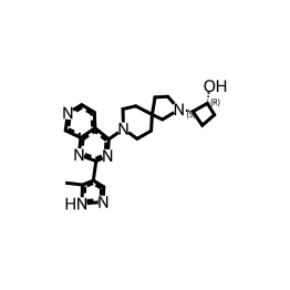 Cc1[nH]ncc1-c1nc(N2CCC3(CC2)CCN([C@H]2CC[C@H]2O)C3)c2ccncc2n1